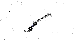 CNc1ccc(/C=C/c2ccc(OCCOCCCOCCN)nc2)cc1